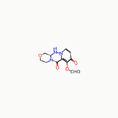 O=COc1c2n(ccc1=O)NC1COCCN1C2=O